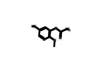 COc1ncc(O)cc1OC(N)=O